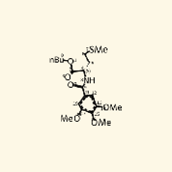 CCCCOC(=O)[C@H](CCSC)NC(=O)c1cc(OC)c(OC)c(OC)c1